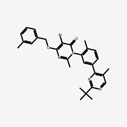 Cc1cccc(COc2nc(C)n(-c3cc(-c4nc(C(C)(C)C)ncc4C)ccc3C)c(=O)c2Br)c1